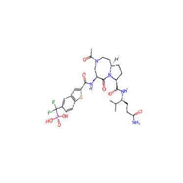 CC(=O)N1CC[C@H]2CC[C@@H](C(=O)N[C@@H](CCC(N)=O)C(C)C)N2C(=O)[C@@H](NC(=O)c2cc3cc(C(F)(F)P(=O)(O)O)ccc3s2)C1